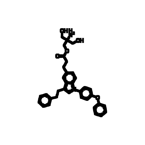 NC(CO)(CO)COC(=O)CCc1ccc2c(c1)c(CCc1ccccc1)cn2-c1ccc(Oc2ccccc2)cc1